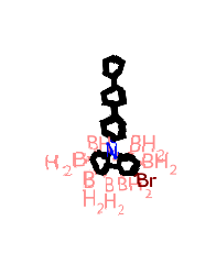 Bc1c(B)c(B)c2c(c1B)c1c(B)c(Br)c(B)c(B)c1n2-c1ccc(-c2ccc(-c3ccccc3)cc2)cc1